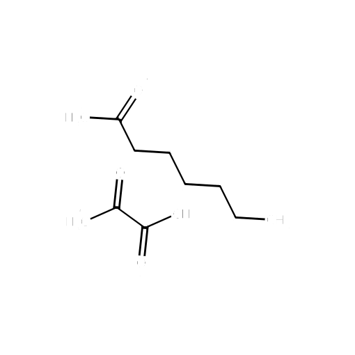 CC(=O)C(C)=O.CCCCCCC(C)=O